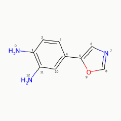 Nc1ccc(-c2cnco2)cc1N